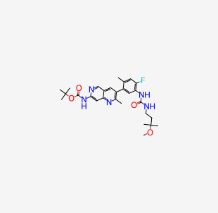 COC(C)(C)CCNC(=O)Nc1cc(-c2cc3cnc(NC(=O)OC(C)(C)C)cc3nc2C)c(C)cc1F